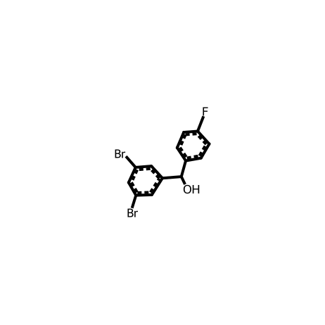 OC(c1ccc(F)cc1)c1cc(Br)cc(Br)c1